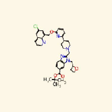 CC(C)(C)OC(=O)c1ccc2nc(CN3CCC(c4cccc(OCc5cc(Cl)cc6cccnc56)n4)CC3)n(C[C@@H]3CCO3)c2c1